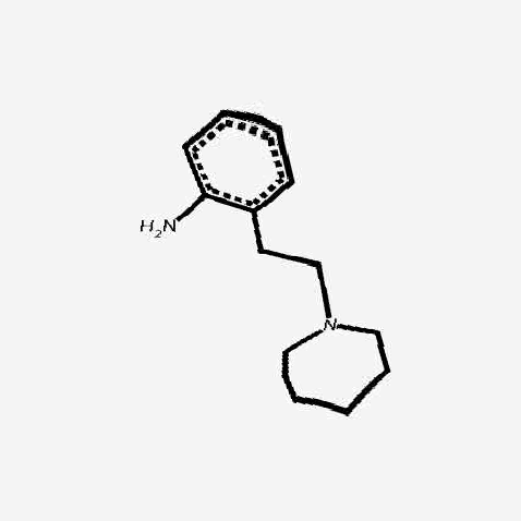 Nc1ccccc1CCN1CCCCC1